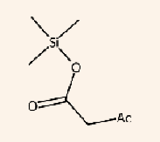 CC(=O)CC(=O)O[Si](C)(C)C